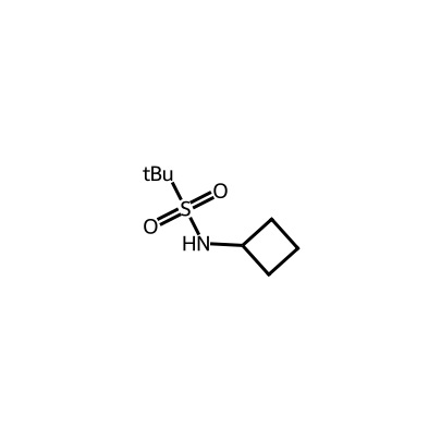 CC(C)(C)S(=O)(=O)NC1CCC1